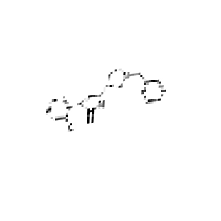 Clc1ccccc1-c1cc(C2CCN(Cc3ccccc3)C2)n[nH]1